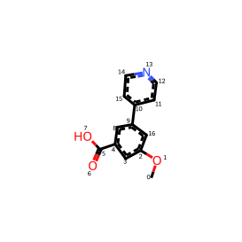 COc1cc(C(=O)O)cc(-c2ccncc2)c1